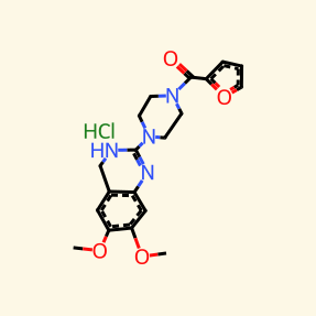 COc1cc2c(cc1OC)N=C(N1CCN(C(=O)c3ccco3)CC1)NC2.Cl